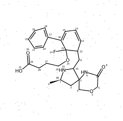 C[C@@H]1CC2(COCC(=O)N2)C(CC2C=CC=C(c3ccccc3)C2(F)OCCCC(=O)O)N1